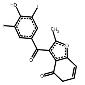 Cc1oc2c(c1C(=O)c1cc(I)c(O)c(I)c1)C(=O)CC=C2